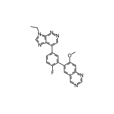 CCn1cnc2c(-c3ccc(F)c(-c4cc5cncnc5cc4OC)c3)cnnc21